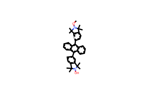 CON1C(C)(C)c2ccc(-c3c4ccccc4c(-c4ccc5c(c4)C(C)(C)N(O)C5(C)C)c4ccccc34)cc2C1(C)C